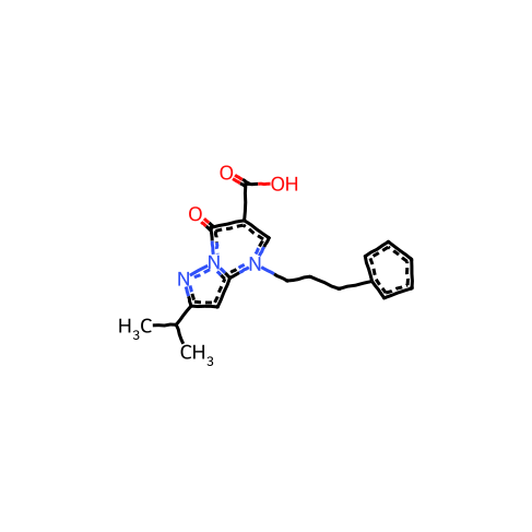 CC(C)c1cc2n(CCCc3ccccc3)cc(C(=O)O)c(=O)n2n1